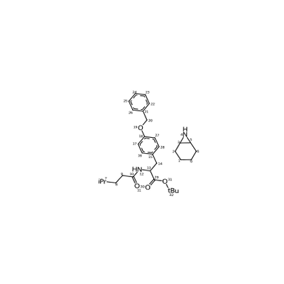 C1CCC2NC2C1.CC(C)CCC(=O)NC(Cc1ccc(OCc2ccccc2)cc1)C(=O)OC(C)(C)C